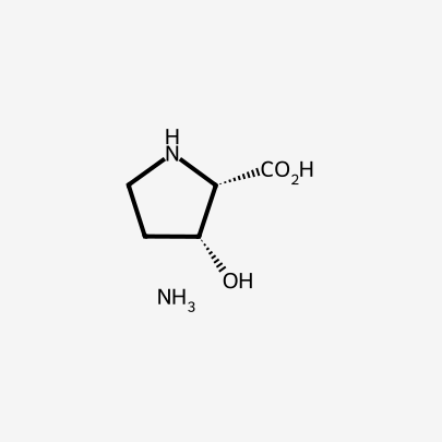 N.O=C(O)[C@H]1NCC[C@H]1O